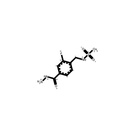 CS(=O)(=O)NCc1ccc(C(=O)NN)cc1F